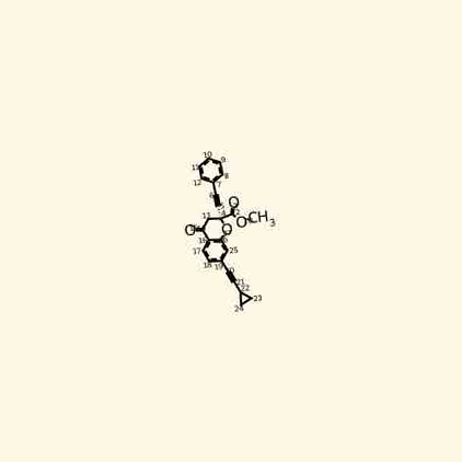 COC(=O)[C@]1(C#Cc2ccccc2)CC(=O)c2ccc(C#CC3CC3)cc2O1